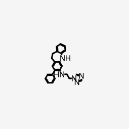 c1ccc(-c2cc3c(cc2NCCn2cncn2)Nc2ccccc2CC3)cc1